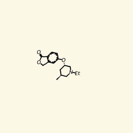 CCN1C[C@@H](C)C[C@H](Oc2ccc3c(c2)COC3=O)C1